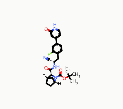 CC(C)(C)OC(=O)N1[C@@H]2CC[C@@H](C2)[C@H]1C(=O)N[C@H](C#N)Cc1ccc(-c2cc[nH]c(=O)c2)cc1F